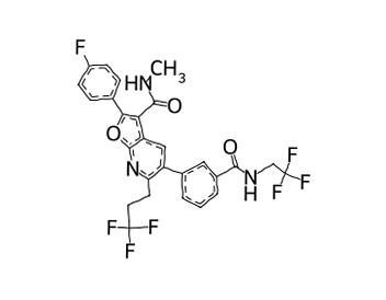 CNC(=O)c1c(-c2ccc(F)cc2)oc2nc(CCC(F)(F)F)c(-c3cccc(C(=O)NCC(F)(F)F)c3)cc12